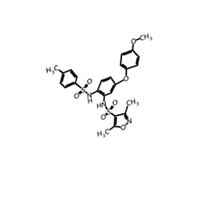 COc1ccc(Oc2ccc(NS(=O)(=O)c3ccc(C)cc3)c(NS(=O)(=O)c3c(C)noc3C)c2)cc1